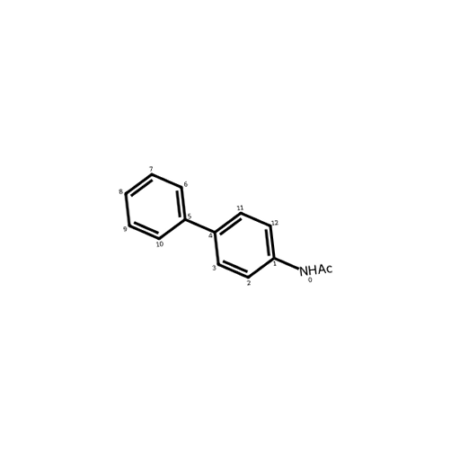 CC(=O)Nc1ccc(-c2ccccc2)cc1